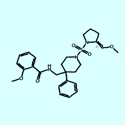 CO/C=C1\CCCN1S(=O)(=O)N1CCC(CNC(=O)c2ccccc2OC)(c2ccccc2)CC1